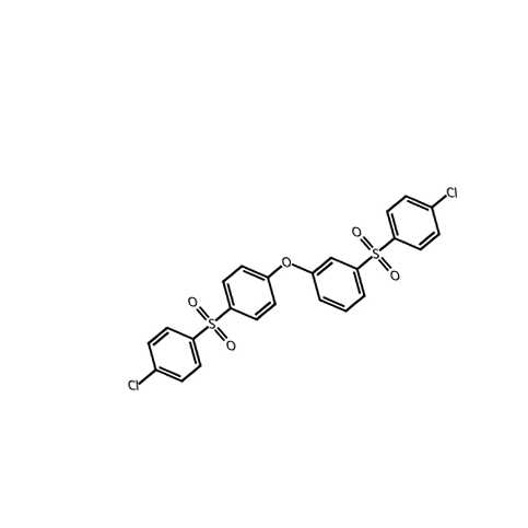 O=S(=O)(c1ccc(Cl)cc1)c1ccc(Oc2cccc(S(=O)(=O)c3ccc(Cl)cc3)c2)cc1